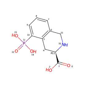 O=C(O)[C@H]1Cc2c(cccc2P(=O)(O)O)CN1